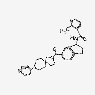 Cc1ncccc1C(=O)N[C@@H]1CCc2ccc(C(=O)N3CCC4(CCN(c5ccncc5)CC4)C3)cc21